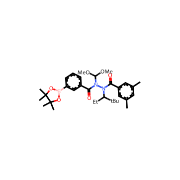 CCC(N(C(=O)c1cc(C)cc(C)c1)N(C(=O)c1cccc(B2OC(C)(C)C(C)(C)O2)c1)C(OC)OC)C(C)(C)C